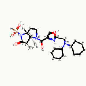 CC(C)[C@@H]1C(=O)N(S(C)(=O)=O)[C@@H]2CCN(C(=O)c3coc(CN(C4CCCCC4)C4CCCCC4)n3)[C@H]21